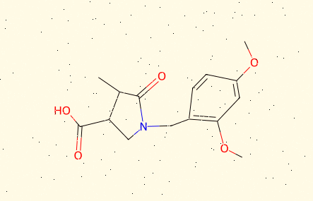 COc1ccc(CN2CC(C(=O)O)C(C)C2=O)c(OC)c1